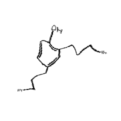 CC(C)CCCc1ccc(O)c(CCCC(C)C)c1